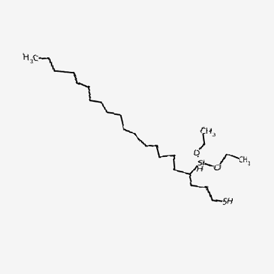 CCCCCCCCCCCCCCCCCC(CCCS)[SiH](OCC)OCC